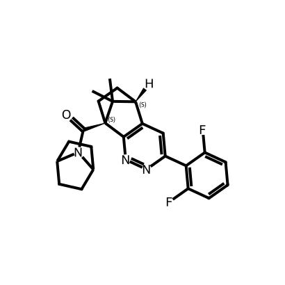 CC1(C)[C@@H]2CC[C@@]1(C(=O)N1C3CCC1CC3)c1nnc(-c3c(F)cccc3F)cc12